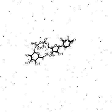 O=C1C(OP(=O)(O)OP(=O)(O)OCC2OC(n3ccc(=O)[nH]c3=O)C(O)C2O)OC(CO)C(O)C1O